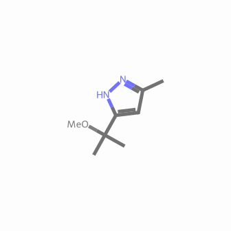 COC(C)(C)c1cc(C)n[nH]1